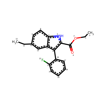 CCOC(=O)c1[nH]c2ccc(CC)cc2c1-c1ccccc1F